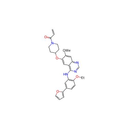 C=CC(=O)N1CCC(Oc2cc3c(Nc4cc(-c5ccco5)ccc4OCC)ncnc3cc2OC)CC1